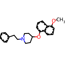 COc1cccc2c(OC3CCN(CCc4ccccc4)CC3)cccc12